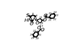 O=C(OC[C@@H]1O[C@H](n2ccc(=S)[nH]c2=O)CC1OC(=O)c1ccccc1)c1ccccc1